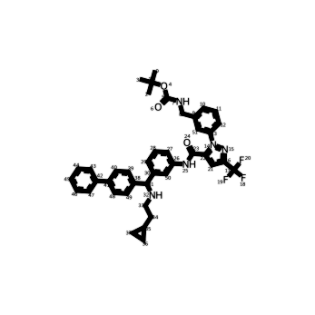 CC(C)(C)OC(=O)NCc1cccc(-n2nc(C(F)(F)F)cc2C(=O)Nc2cccc(C(NCCC3CC3)c3ccc(-c4ccccc4)cc3)c2)c1